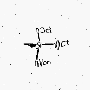 CCCCCCCCC[Si](C)(CCCCCCCC)CCCCCCCC